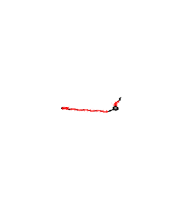 CCCCOC(=O)c1cccc(C#CCOCCOCCOCCOCCOCCOCCC(=O)OC(C)(C)C)c1